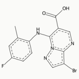 Cc1cc(F)ccc1Nc1c(C(=O)O)cnc2c(Br)cnn12